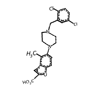 Cc1c(N2CCN(Cc3cc(Cl)ccc3Cl)CC2)ccc2oc(C(=O)O)cc12